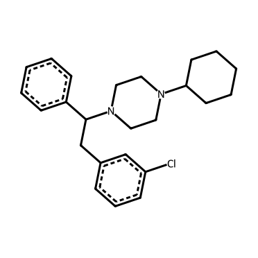 Clc1cccc(CC(c2ccccc2)N2CCN(C3CCCCC3)CC2)c1